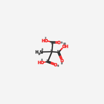 O=C(O)C([SiH3])(C(=O)O)C(=O)O